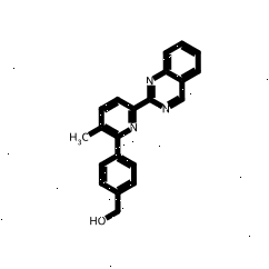 Cc1ccc(-c2ncc3ccccc3n2)nc1-c1ccc(CO)cc1